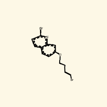 BrCCCCOc1ccc2ccc(Br)nc2c1